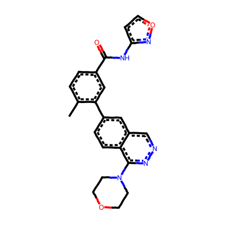 Cc1ccc(C(=O)Nc2ccon2)cc1-c1ccc2c(N3CCOCC3)nncc2c1